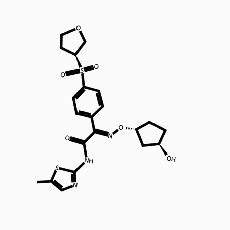 Cc1cnc(NC(=O)/C(=N/O[C@@H]2CC[C@@H](O)C2)c2ccc(S(=O)(=O)[C@H]3CCOC3)cc2)s1